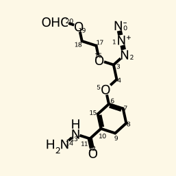 [N-]=[N+]=NC(COC1=CCCC(C(=O)NN)=C1)OCCOC=O